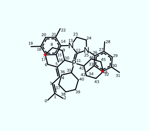 CC(C)=CC=C1CCCCC1P(=C1N(c2c(C)cc(C)cc2C)CCN1c1c(C)cc(C)cc1C)(C1CCCCC1)C1CCCCC1